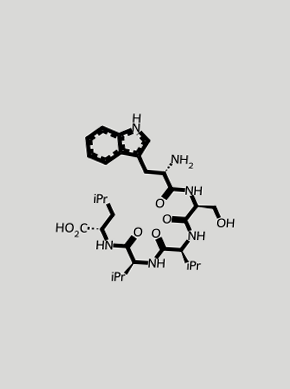 CC(C)C[C@H](NC(=O)[C@@H](NC(=O)[C@@H](NC(=O)[C@H](CO)NC(=O)[C@@H](N)Cc1c[nH]c2ccccc12)C(C)C)C(C)C)C(=O)O